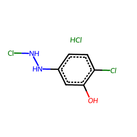 Cl.Oc1cc(NNCl)ccc1Cl